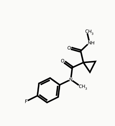 CNC(=O)C1(C(=O)N(C)c2ccc(F)cc2)CC1